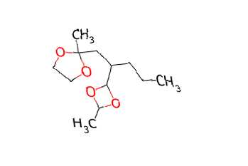 CCCC(CC1(C)OCCO1)C1OC(C)O1